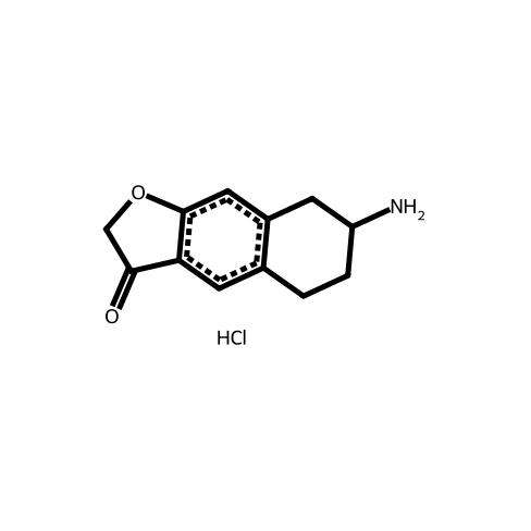 Cl.NC1CCc2cc3c(cc2C1)OCC3=O